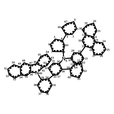 c1ccc(-c2cccc(N(c3cccc(-c4cc5ccccc5c5ccccc45)c3)c3ccc(-c4ccccc4-n4c5ccccc5c5cc6ccccc6cc54)cc3-c3ccccc3)c2)cc1